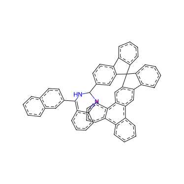 c1ccc2c(c1)-c1ccc(C3N=c4ccccc4=C(c4ccc5ccccc5c4)N3)cc1C21c2ccccc2-c2cc3c4ccccc4c4ccccc4c3cc21